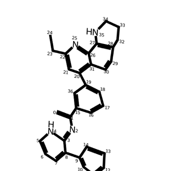 C=C(/N=c1\[nH]cccc1-c1ccccc1)c1cccc(-c2cc(CC)nc3c4c(ccc23)CCCN4)c1